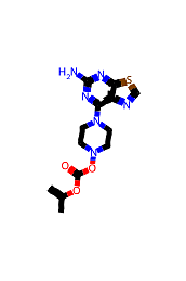 C=C(C)OC(=O)ON1CCN(c2nc(N)nc3scnc23)CC1